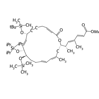 COC(=O)/C=C/C(C)=C/[C@H](C)[C@@H]1C/C(C)=C/C=C/CC[C@@H](O[Si](C)(C)C)[C@H](O[Si](C(C)C)(C(C)C)C(C)C)/C=C/[C@H](O[Si](C)(C)C(C)(C)C)CCC/C=C/C(=O)O1